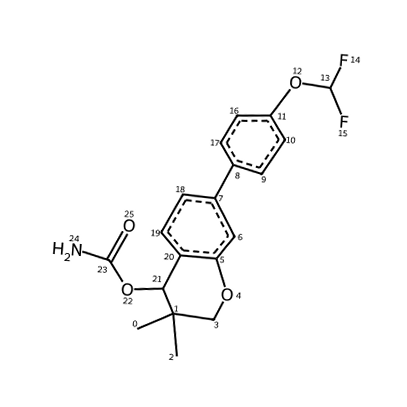 CC1(C)COc2cc(-c3ccc(OC(F)F)cc3)ccc2C1OC(N)=O